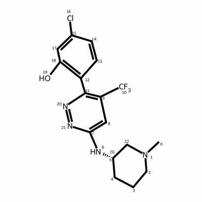 CN1CCC[C@H](Nc2cc(C(F)(F)F)c(-c3ccc(Cl)cc3O)nn2)C1